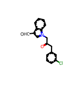 O=Cc1cn(CC(=O)Cc2cccc(Cl)c2)c2ccccc12